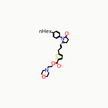 CCCCCCc1ccc(N2C(=O)CC[C@@H]2C=CCc2ccc(C(=O)OCCN3CCOCC3)s2)cc1